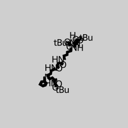 CC(CCN(CCCCNC(=O)CC(=O)NCCCCCCN/C(=N/C(=O)OC(C)(C)C)NC(=O)OC(C)(C)C)Cc1ccccc1)NC(=O)OC(C)(C)C